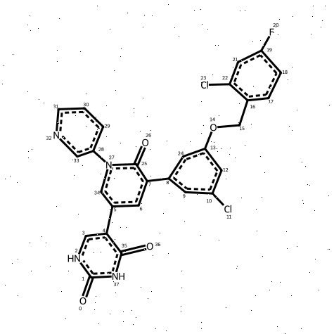 O=c1[nH]cc(-c2cc(-c3cc(Cl)cc(OCc4ccc(F)cc4Cl)c3)c(=O)n(-c3cccnc3)c2)c(=O)[nH]1